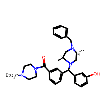 CCOC(=O)N1CCN(C(=O)c2cccc(C(c3cccc(O)c3)N3C[C@@H](C)N(Cc4ccccc4)C[C@@H]3C)c2)CC1